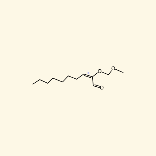 CCCCCCC/C=C(\C=O)OCOC